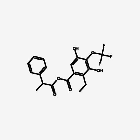 CCc1c(C(=O)OC(=O)C(C)c2ccccc2)cc(O)c(OC(F)(F)F)c1O